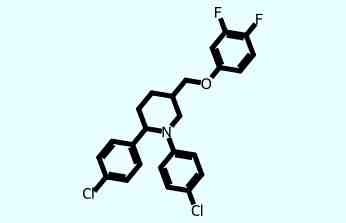 Fc1ccc(OCC2CCC(c3ccc(Cl)cc3)N(c3ccc(Cl)cc3)C2)cc1F